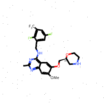 COc1cc2nc(C)nc(NCc3cc(F)cc(C(F)(F)F)c3F)c2cc1OC[C@@H]1CNCCO1